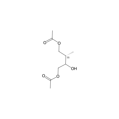 CC(=O)OCC(O)[C@@H](C)COC(C)=O